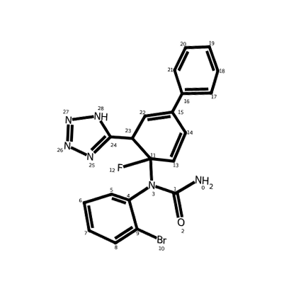 NC(=O)N(c1ccccc1Br)C1(F)C=CC(c2ccccc2)=CC1c1nnn[nH]1